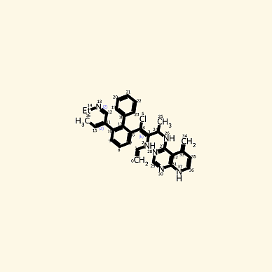 C=CN/C(=C(/Cl)c1cccc(C(/C=N\CC)=C/C)c1-c1ccccc1)C(C)Nc1ncnc2c1C(=C)C=CN2